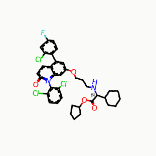 O=C(OC1CCCC1)[C@@H](NCCCOc1cc(-c2ccc(F)cc2Cl)c2ccc(=O)n(-c3c(Cl)cccc3Cl)c2c1)C1CCCCC1